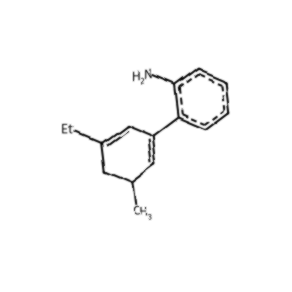 CCC1=CC(c2ccccc2N)=CC(C)C1